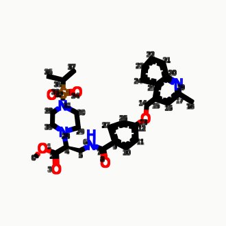 COC(=O)[C@H](CNC(=O)c1ccc(OCc2cc(C)nc3ccccc23)cc1)N1CCN(S(=O)(=O)C(C)C)CC1